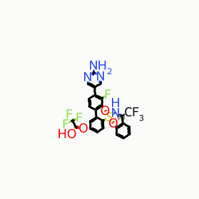 Nc1ncc(-c2ccc(-c3ccccc3S(=O)(=O)N[C@H](c3ccccc3)C(F)(F)F)cc2F)cn1.O=C(O)C(F)(F)F